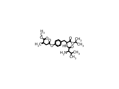 C=C(CC(=O)Oc1ccc(CC(NC(=O)C(N)C(C)C)C(=O)OC(C)C)cc1)C(=O)OC